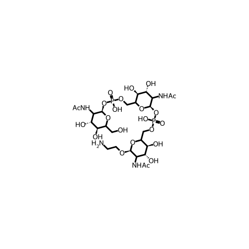 CC(=O)NC1[C@@H](OP(=O)(O)OCC2O[C@H](OP(=O)(O)OCC3O[C@H](OCCN)C(NC(C)=O)[C@@H](O)[C@@H]3O)C(NC(C)=O)[C@@H](O)[C@@H]2O)OC(CO)[C@@H](O)[C@@H]1O